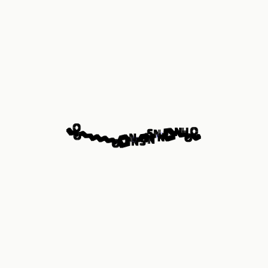 C=CC(=O)OCCCCCCCCCOc1ccc(/N=N/c2cc3sc(/N=N/c4ccc(NCCOC(=O)C=C)cc4)nc3s2)cc1